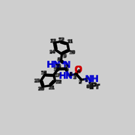 CC(C)NCC(=O)Nc1nc(-c2ccccc2)[nH]c1-c1ccccc1